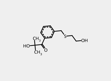 CC(C)(O)C(=O)c1cccc(CSCCO)c1